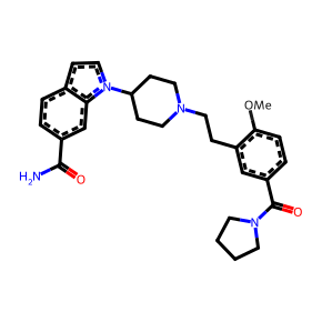 COc1ccc(C(=O)N2CCCC2)cc1CCN1CCC(n2ccc3ccc(C(N)=O)cc32)CC1